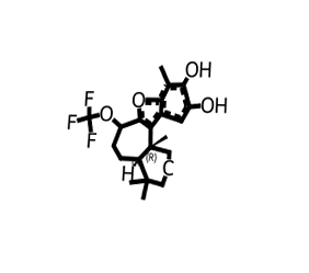 Cc1c(O)c(O)cc2c3c(oc12)C(OC(F)(F)F)CC[C@@H]1C(C)(C)CCC[C@@]31C